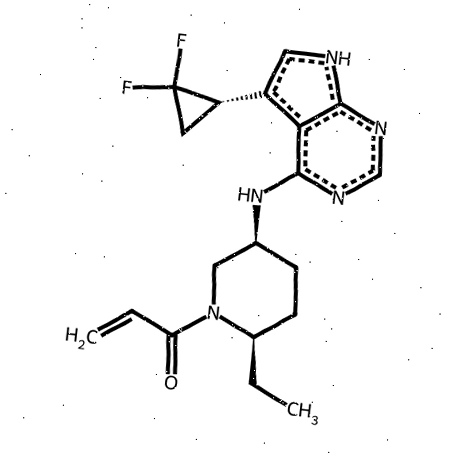 C=CC(=O)N1C[C@@H](Nc2ncnc3[nH]cc([C@@H]4CC4(F)F)c23)CC[C@H]1CC